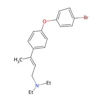 CCN(CC)CC=C(C)c1ccc(Oc2ccc(Br)cc2)cc1